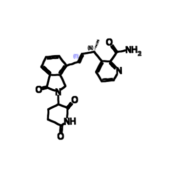 C[C@@H](/C=C/c1cccc2c1CN(C1CCC(=O)NC1=O)C2=O)c1cccnc1C(N)=O